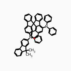 CC1(C)c2ccccc2-c2ccc(N(c3ccccc3)c3ccc4c(c3)C3(c5ccccc5-4)c4ccccc4-c4c(N(c5ccccc5)c5ccccc5)cc5ccccc5c43)cc21